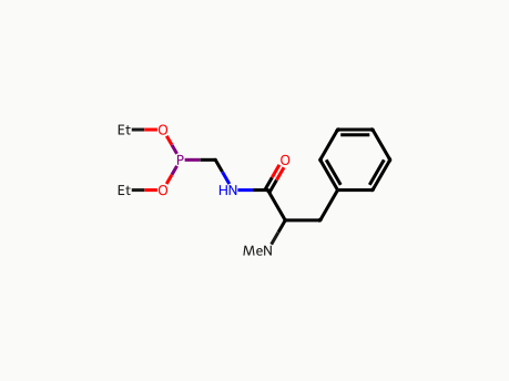 CCOP(CNC(=O)C(Cc1ccccc1)NC)OCC